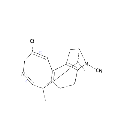 CC1C2CC3=C(CCC4=C3/C=C(/Cl)C/N=C\C41C)N2C#N